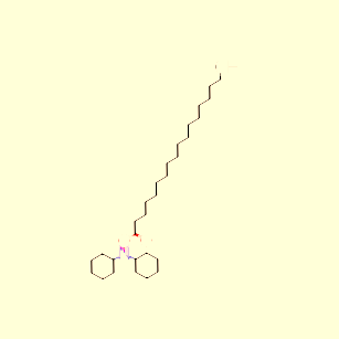 CCCCCCCCCCCCCCCCCC(=O)ON(C1CCCCC1)C1CCCCC1